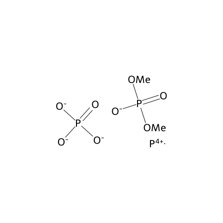 COP(=O)([O-])OC.O=P([O-])([O-])[O-].[P+4]